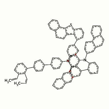 C=Cc1cccc(-c2ccc(-c3ccc(N(c4ccc(-c5cccc6sc7c8ccccc8ccc7c56)cc4)c4cccc(-c5ccccc5N(c5cccc(-c6ccc7ccccc7c6)c5)c5ccc6c(ccc7ccccc76)c5)c4)cc3)cc2)c1/C=C\C